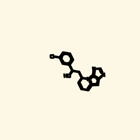 OC(CC1C=CC=c2cc3c(n21)=NC=N3)c1cccc(Cl)c1